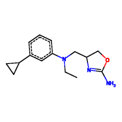 CCN(CC1COC(N)=N1)c1cccc(C2CC2)c1